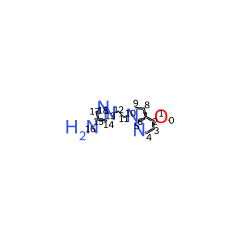 COc1ccnc2c1ccn2CCn1cc(N)cn1